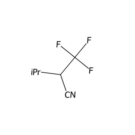 CC(C)C(C#N)C(F)(F)F